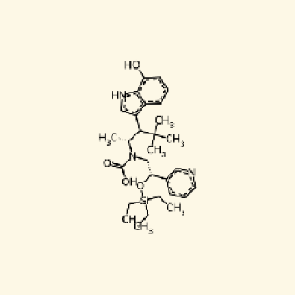 CC[Si](CC)(CC)O[C@H](CN(C(=O)O)[C@H](C)C(c1c[nH]c2c(O)cccc12)C(C)(C)C)c1cccnc1